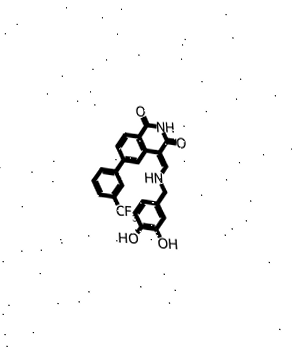 O=C1NC(=O)c2ccc(-c3cccc(C(F)(F)F)c3)cc2C1=CNCc1ccc(O)c(O)c1